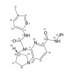 Cc1cbc(NC(=O)N2c3nc(C(=O)NC(C)C)ccc3N3CC[C@H]2C3)cc1